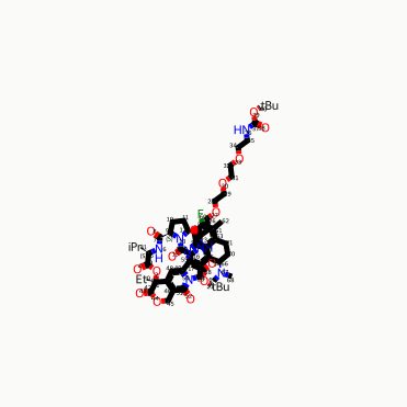 CC[C@@]1(OC(=O)[C@@H](NC(=O)[C@@H]2CCCN2C(=O)[C@H](CC(=O)OC(C)(C)C)NC(=O)CCOCCOCCOCCNC(=O)OC(C)(C)C)C(C)C)C(=O)OCc2c1cc1n(c2=O)Cc2c-1nc1cc(F)c(C)c3c1c2[C@@H](N(C)C)CC3